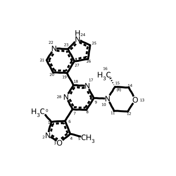 Cc1noc(C)c1-c1cc(N2CCOC[C@H]2C)nc(-c2ccnc3[nH]ccc23)n1